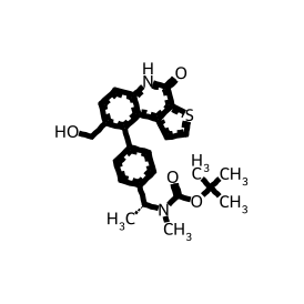 C[C@H](c1ccc(-c2c(CO)ccc3[nH]c(=O)c4sccc4c23)cc1)N(C)C(=O)OC(C)(C)C